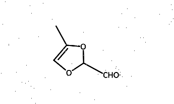 CC1=COC([C]=O)O1